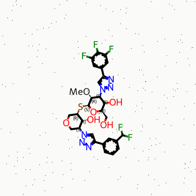 CO[C@@H]1[C@@H](n2cc(-c3cc(F)c(F)c(F)c3)nn2)[C@@H](O)[C@@H](CO)O[C@H]1S[C@@H]1COC[C@H](n2cc(-c3cccc(C(F)F)c3)nn2)[C@H]1O